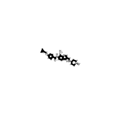 Cc1c(NC(=O)c2ccc(OCC3CC3)cc2)ccc2cc(CN[C@H]3CC[S@+]([O-])CC3)cnc12